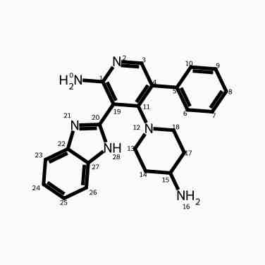 Nc1ncc(-c2ccccc2)c(N2CCC(N)CC2)c1-c1nc2ccccc2[nH]1